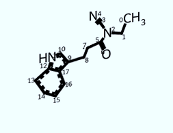 CCN(C#N)C(=O)[CH]Cc1c[nH]c2ccccc12